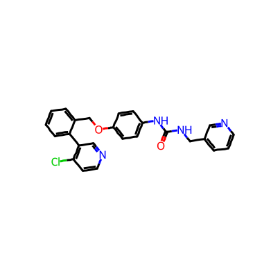 O=C(NCc1cccnc1)Nc1ccc(OCc2ccccc2-c2cnccc2Cl)cc1